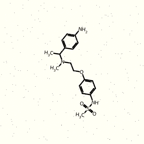 CC(c1ccc(N)cc1)N(C)CCOc1ccc(NS(C)(=O)=O)cc1